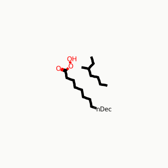 CCCCC(C)CC.CCCCCCCCCCCCCCCCCC(=O)OO